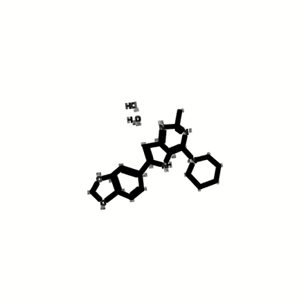 Cc1nc(N2CCCCC2)c2[nH]c(-c3ccc4c(c3)OCO4)cc2n1.Cl.O